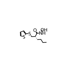 CCCC[C@H](CSc1cccs1)C(=O)NO